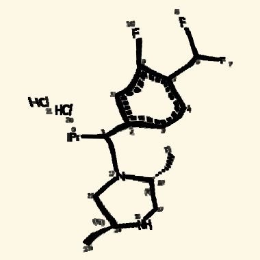 CC(C)C(c1ccc(C(F)F)c(F)c1)N1C[C@H](C)NC[C@H]1C.Cl.Cl